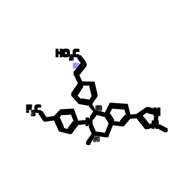 C[C@@H]1Cc2cc(-c3cnn(C)c3)ccc2[C@@H](c2ccc(/C=C/C(=O)O)cc2)N1c1ccc(CC(F)(F)F)cc1